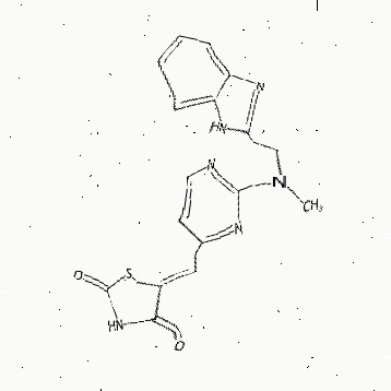 CN(Cc1nc2ccccc2[nH]1)c1nccc(/C=C2\SC(=O)NC2=O)n1